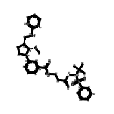 CO[C@H]1[C@H](CNc2ncccn2)CCN1c1cccc(C(=O)NCCC(=O)ON(C(C)(C)C)S(=O)(=O)c2ccccc2)c1